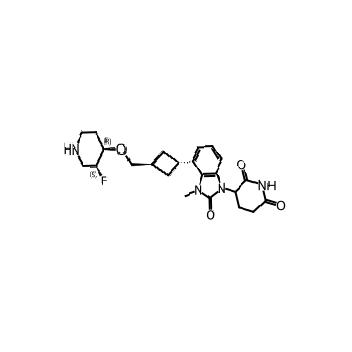 Cn1c(=O)n(C2CCC(=O)NC2=O)c2cccc([C@H]3C[C@H](CO[C@@H]4CCNC[C@@H]4F)C3)c21